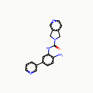 Nc1ccc(-c2cccnc2)cc1NC(=O)N1Cc2ccncc2C1